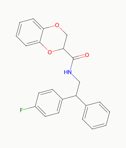 O=C(NCC(c1ccccc1)c1ccc(F)cc1)C1COc2ccccc2O1